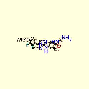 CCc1cc(Nc2nccn3c(-c4ccc(OC)c(F)c4F)cnc23)ccc1C(=O)NCCN